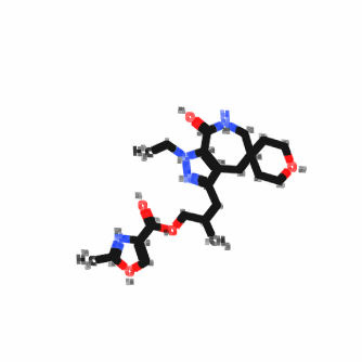 CCn1nc(CC(C)COC(=O)c2coc(C)n2)c2c1C(=O)NCC1(CCOCC1)C2